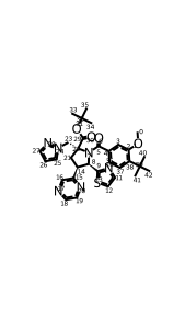 COc1cc(C(=O)N2[C@@H](c3nccs3)[C@@H](c3cnccn3)C[C@@]2(Cn2cccn2)C(=O)OC(C)(C)C)ccc1C(C)(C)C